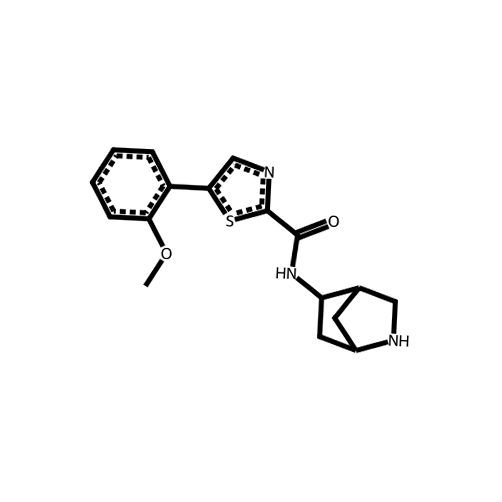 COc1ccccc1-c1cnc(C(=O)NC2CC3CC2CN3)s1